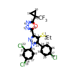 CCSc1c(-c2nnc(C3(C(F)(F)F)CC3)o2)nn(-c2ccc(Cl)cc2Cl)c1-c1ccc(Cl)cc1